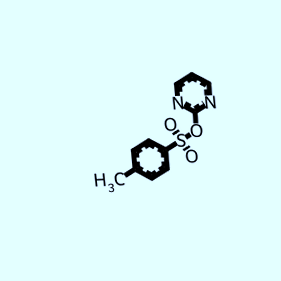 Cc1ccc(S(=O)(=O)Oc2ncccn2)cc1